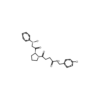 O=C(CCC(=O)N1CCC[C@H]1C(=O)C[S+]([O-])c1ccccc1)NCc1ccc(Cl)cc1